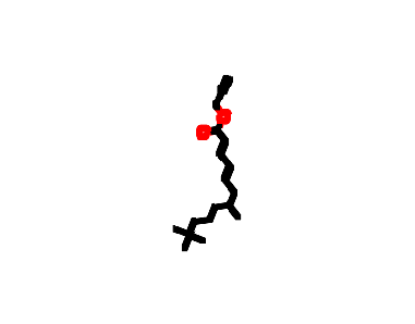 C#CCOC(=O)C=CC=CCC(C)CCCC(C)(C)C